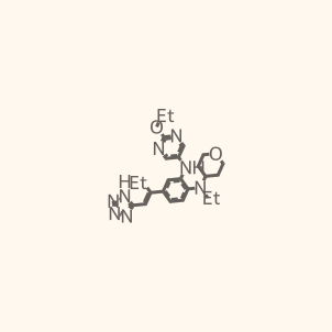 CCOc1ncc(Nc2cc(/C(=C/c3nnn[nH]3)CC)ccc2N(CC)C2CCOCC2)cn1